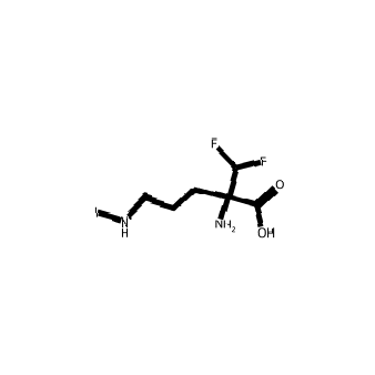 NC(CCCNI)(C(=O)O)C(F)F